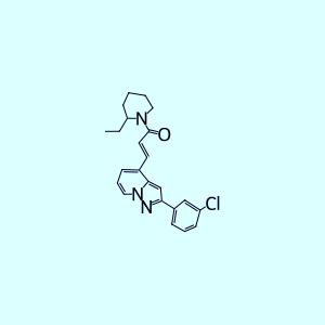 CCC1CCCCN1C(=O)C=Cc1cccn2nc(-c3cccc(Cl)c3)cc12